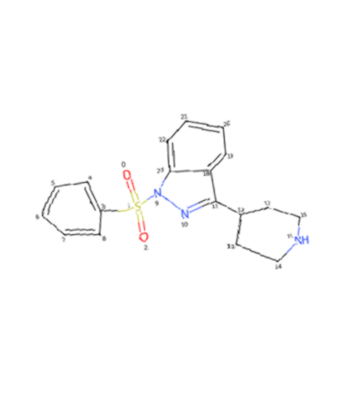 O=S(=O)(c1ccccc1)n1nc(C2CCNCC2)c2ccccc21